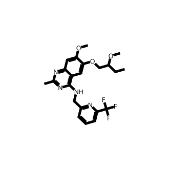 CCC(COc1cc2c(NCc3cccc(C(F)(F)F)n3)nc(C)nc2cc1OC)OC